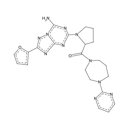 Nc1nc(N2CCCC2C(=O)N2CCCN(c3ncccn3)CC2)nc2nc(-c3ccco3)nn12